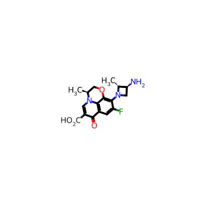 C[C@@H]1[C@@H](N)CN1c1c(F)cc2c(=O)c(C(=O)O)cn3c2c1OC[C@@H]3C